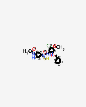 COc1cc(OCc2ccccc2)c(NC(=O)N(S)c2ccc(NC(C)=O)cc2)cc1Cl